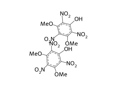 COc1c([N+](=O)[O-])c(O)c([N+](=O)[O-])c(OC)c1[N+](=O)[O-].COc1c([N+](=O)[O-])c(O)c([N+](=O)[O-])c(OC)c1[N+](=O)[O-]